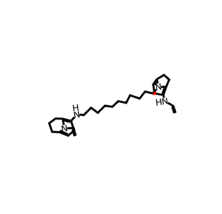 C=CNC1=C2CCC(=CC1)N2CCCCCCCCCCCNC1=C2CCCC(=CC1)N2C=C